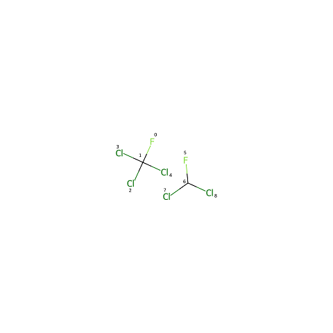 FC(Cl)(Cl)Cl.FC(Cl)Cl